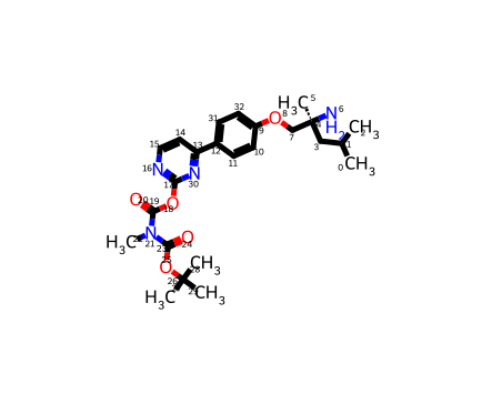 CC(C)C[C@](C)(N)COc1ccc(-c2ccnc(OC(=O)N(C)C(=O)OC(C)(C)C)n2)cc1